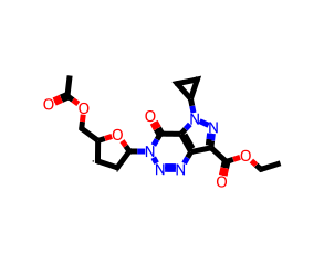 CCOC(=O)c1nn(C2CC2)c2c(=O)n(C3[CH][CH]C(COC(C)=O)O3)nnc12